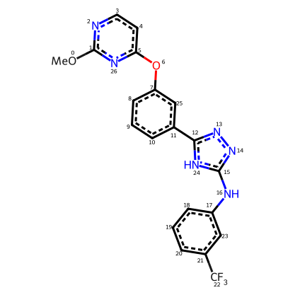 COc1nccc(Oc2cccc(-c3nnc(Nc4cccc(C(F)(F)F)c4)[nH]3)c2)n1